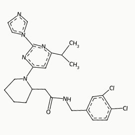 CC(C)c1cc(N2CCCCC2CC(=O)NCc2ccc(Cl)c(Cl)c2)nc(-n2ccnc2)n1